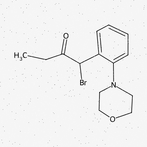 CCC(=O)C(Br)c1ccccc1N1CCOCC1